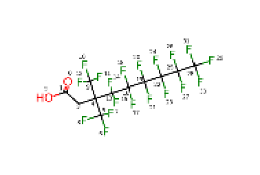 O=C(O)CC(C(F)(F)F)(C(F)(F)F)C(F)(F)C(F)(F)C(F)(F)C(F)(F)C(F)(F)C(F)(F)F